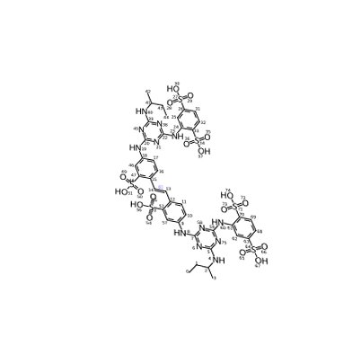 CCC(C)Nc1nc(Nc2ccc(/C=C/c3ccc(Nc4nc(Nc5cc(S(=O)(=O)O)ccc5S(=O)(=O)O)nc(NC(C)CC)n4)cc3S(=O)(=O)O)c(S(=O)(=O)O)c2)nc(Nc2cc(S(=O)(=O)O)ccc2S(=O)(=O)O)n1